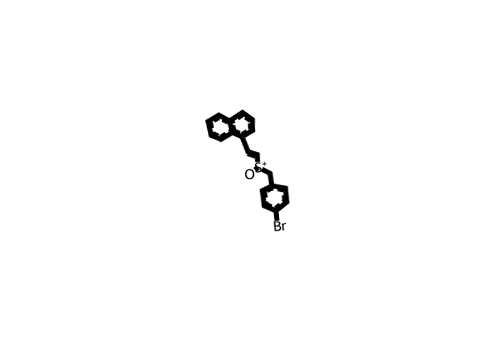 [O-][S+](/C=C/c1cccc2ccccc12)Cc1ccc(Br)cc1